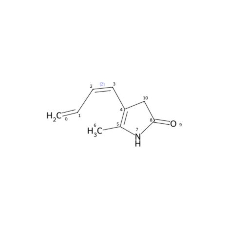 C=C/C=C\C1=C(C)NC(=O)C1